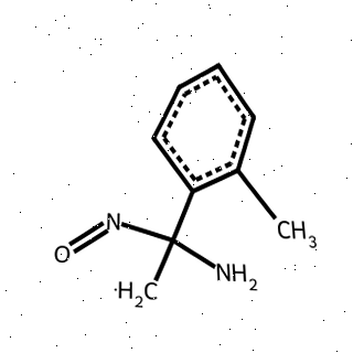 [CH2]C(N)(N=O)c1ccccc1C